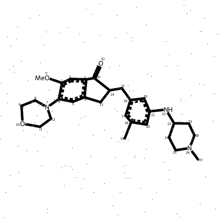 COc1cc2c(cc1N1CCOCC1)CC(Cc1cc(C)cc(NC3CCN(C)CC3)c1)C2=O